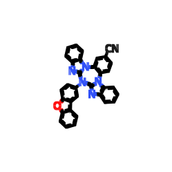 N#Cc1ccc2c(c1)n1c3ccccc3nc1n(-c1ccc3oc4ccccc4c3c1)c1nc3ccccc3n21